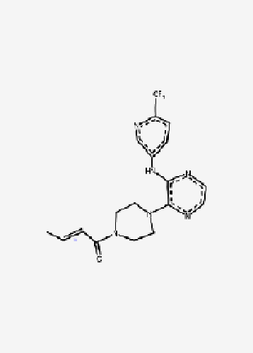 C/C=C/C(=O)N1CCN(c2nccnc2Nc2ccc(C(F)(F)F)nc2)CC1